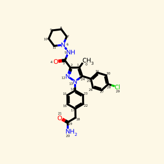 Cc1c(C(=O)NN2CCCCC2)nn(-c2ccc(CC(N)=O)cc2)c1-c1ccc(Cl)cc1